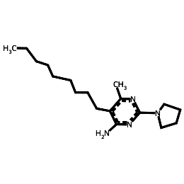 CCCCCCCCCc1c(C)nc(N2CCCC2)nc1N